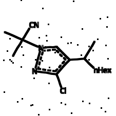 CCCCCCC(C)c1cn(C(C)(C)C#N)nc1Cl